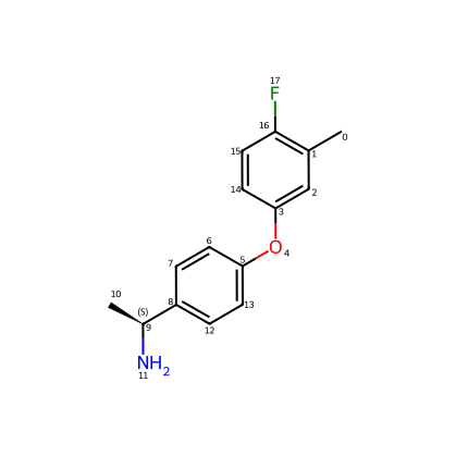 Cc1cc(Oc2ccc([C@H](C)N)cc2)ccc1F